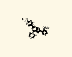 COc1ccncc1-c1cc2c(N3CCOCC3)nc(-c3cnc(N)nc3)nc2s1